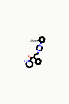 COc1ccccc1N1CCN(CCC(C(=O)C2CCCCCN2)c2ccccc2)CC1